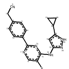 N#CCc1ccc(-c2ncc(F)c(Nc3cc(C4CC4)[nH]n3)n2)cc1